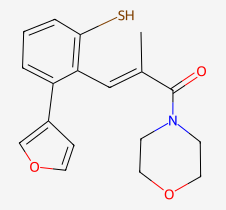 C/C(=C\c1c(S)cccc1-c1ccoc1)C(=O)N1CCOCC1